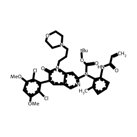 C=CC(=O)Nc1cccc(C)c1N(C(=O)OC(C)(C)C)c1cc2c(cn1)cc(-c1c(Cl)c(OC)cc(OC)c1Cl)c(=O)n2CCCN1CCOCC1